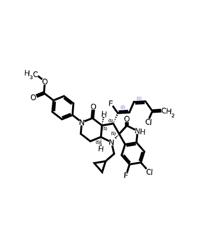 C=C(Cl)/C=C\C=C(/F)[C@H]1[C@@H]2C(=O)N(c3ccc(C(=O)OC)cc3)CC[C@@H]2N(CC2CC2)[C@@]12C(=O)Nc1cc(Cl)c(F)cc12